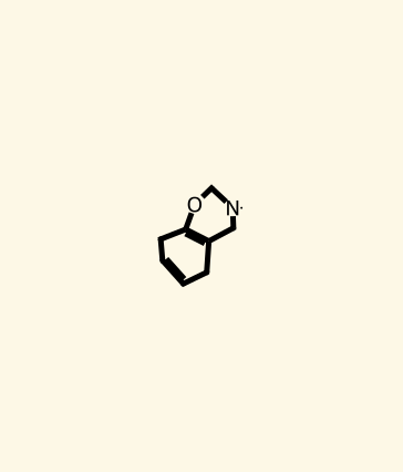 C1=CCC2=C(C1)C[N]CO2